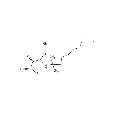 Br.C=C(C)C(=O)C(C)NC(C)(C)CCCCCCC